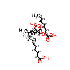 C=C(C)C(=O)O.CCC(CO)(CO)CO.CCCCCCCC(=O)O.CCCCCCCC(=O)O